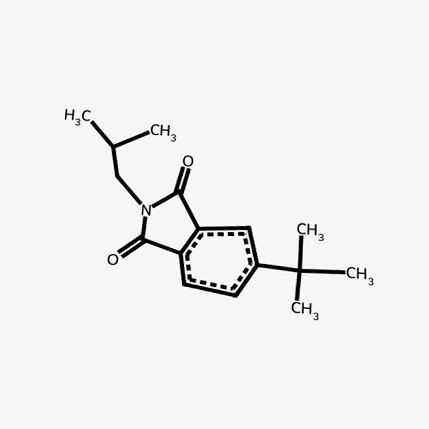 CC(C)CN1C(=O)c2ccc(C(C)(C)C)cc2C1=O